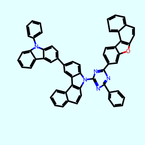 c1ccc(-c2nc(-c3ccc4c(c3)oc3ccc5ccccc5c34)nc(-n3c4ccc(-c5ccc6c(c5)c5ccccc5n6-c5ccccc5)cc4c4c5ccccc5ccc43)n2)cc1